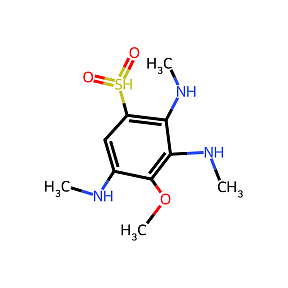 CNc1cc([SH](=O)=O)c(NC)c(NC)c1OC